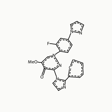 COc1cn(-c2ccc(-n3cccn3)cc2F)nc(-n2ccnc2-c2ccccc2)c1=O